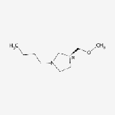 CCCCN1CC[C@H](COC)C1